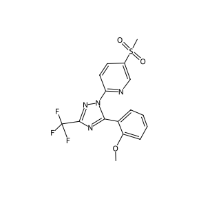 COc1ccccc1-c1nc(C(F)(F)F)nn1-c1ccc(S(C)(=O)=O)cn1